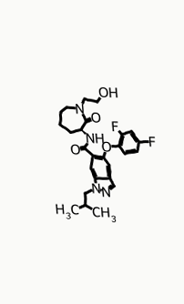 CC(C)Cn1ncc2cc(Oc3ccc(F)cc3F)c(C(=O)N[C@H]3CCCCN(CCO)C3=O)cc21